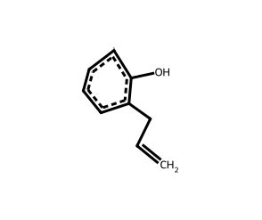 C=CCc1ccc[c]c1O